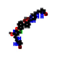 COc1nc(O[C@H]2CCc3c(-c4cccc(C(=O)Nc5ccc(CNCC6CCC(=O)N6)cn5)c4OC)cccc32)c(Cl)cc1CNCC1CCC(=O)N1